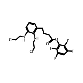 O=C(CCCc1cccc(NCCCl)c1NCCCl)Oc1c(F)c(F)cc(F)c1F